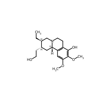 CC[C@H]1CN2CCc3c(cc(OC)c(OC)c3O)[C@@H]2C[C@@H]1CCO